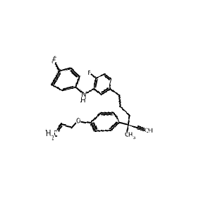 C#CC(C)(CCCc1ccc(F)c(Nc2ccc(F)cc2)c1)c1ccc(OCC=C)cc1